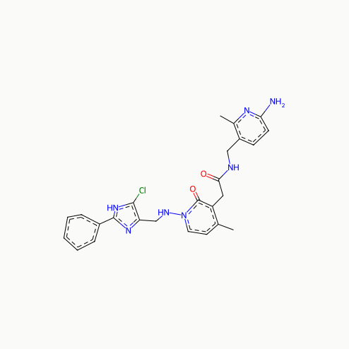 Cc1ccn(NCc2nc(-c3ccccc3)[nH]c2Cl)c(=O)c1CC(=O)NCc1ccc(N)nc1C